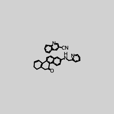 N#Cc1cnc2ccccc2c1.O=C1CC2=C(C=CCC2)c2ccc3cc(NCc4ccccn4)ccc3c21